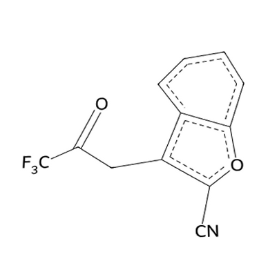 N#Cc1oc2ccccc2c1CC(=O)C(F)(F)F